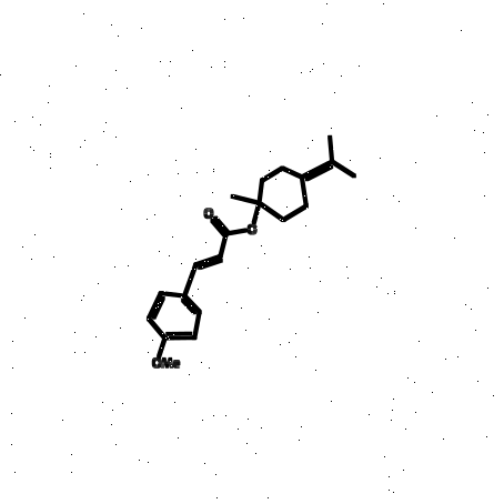 COc1ccc(/C=C/C(=O)OC2(C)CCC(=C(C)C)CC2)cc1